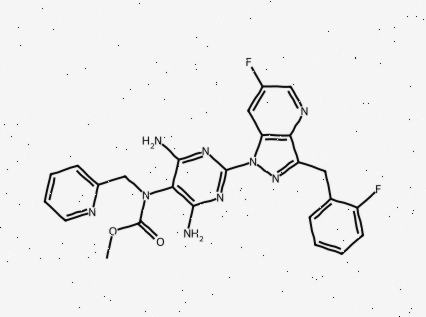 COC(=O)N(Cc1ccccn1)c1c(N)nc(-n2nc(Cc3ccccc3F)c3ncc(F)cc32)nc1N